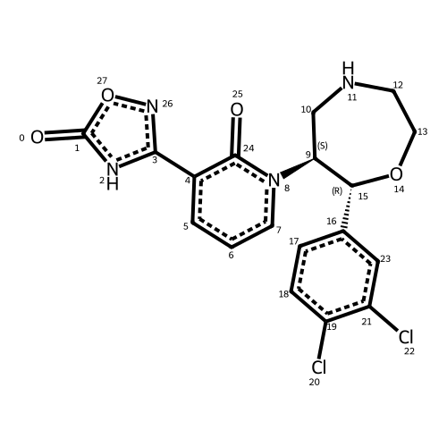 O=c1[nH]c(-c2cccn([C@H]3CNCCO[C@@H]3c3ccc(Cl)c(Cl)c3)c2=O)no1